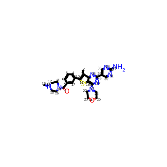 Cc1c(-c2cccc(C(=O)N3CCN(C)CC3)c2)sc2c(N3CCOCC3)nc(-c3cnc(N)nc3)nc12